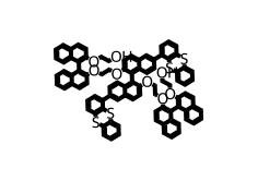 OCCOc1ccc2ccccc2c1-c1c(OCCOc2ccc3cc(-c4cccc5c4Sc4ccccc4S5)ccc3c2-c2c(OCCOc3ccc4ccccc4c3-c3c(OCCO)ccc4ccccc34)ccc3cc(-c4cccc5c4Sc4ccccc4S5)ccc23)ccc2ccccc12